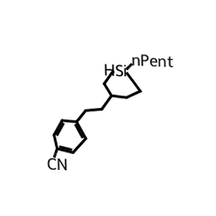 CCCCC[SiH]1CCC(CCc2ccc(C#N)cc2)CC1